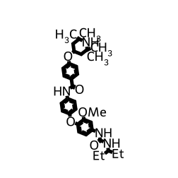 CCC(CC)NC(=O)Nc1ccc(Oc2ccc(NC(=O)c3ccc(OC4CC(C)(C)NC(C)(C)C4)cc3)cc2)c(OC)c1